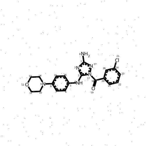 Nc1nc(Nc2ccc(N3CCOCC3)cc2)n(C(=O)c2cccc(Cl)c2)n1